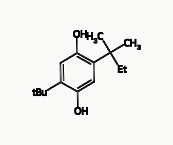 CCC(C)(C)c1cc(O)c(C(C)(C)C)cc1O